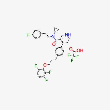 O=C(C1=C(c2ccc(CCCOc3c(F)ccc(F)c3F)cc2)CCNC1)N(CCc1ccc(F)cc1)C1CC1.O=C(O)C(F)(F)F